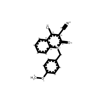 COc1ccc(Cn2c(=O)c(C#N)c(Cl)c3ccccc32)cc1